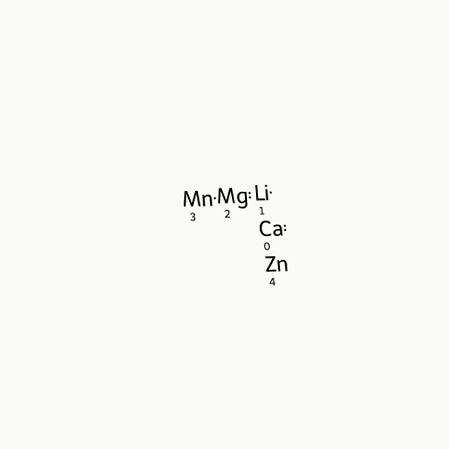 [Ca].[Li].[Mg].[Mn].[Zn]